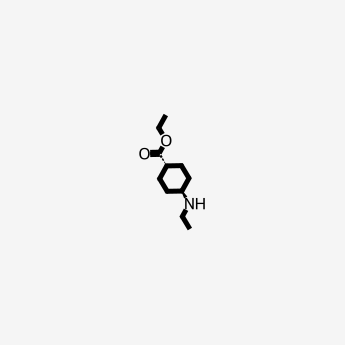 CCN[C@H]1CC[C@H](C(=O)OCC)CC1